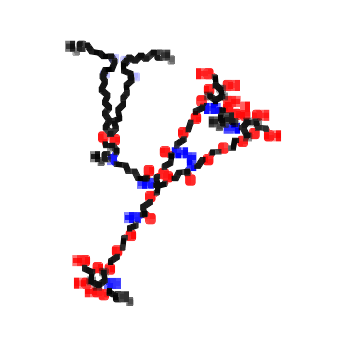 CCCCC/C=C\C/C=C\CCCCCCCCC1(CCCCCCCC/C=C\C/C=C\CCCCC)OC[C@H](CN(C)CCCCCC(=O)NC(COCCC(=O)NCCOCCOCCO[C@@H]2OC(CO)[C@H](O)[C@H](O)C2NC(C)=O)(COCCC(=O)NCCOCCOCCO[C@@H]2OC(CO)[C@H](O)[C@H](O)C2NC(C)=O)COCCC(=O)NCCOCCOCCO[C@@H]2OC(CO)[C@H](O)[C@H](O)C2NC(C)=O)O1